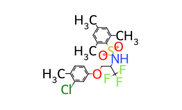 Cc1cc(C)c(S(=O)(=O)NC(COc2ccc(C)c(Cl)c2)C(F)(F)F)c(C)c1